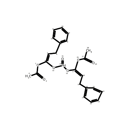 CC(=O)O/C(=C/Cc1ccccc1)O[PH](=O)O/C(=C\Cc1ccccc1)OC(C)=O